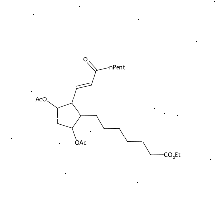 CCCCCC(=O)C=CC1C(OC(C)=O)CC(OC(C)=O)C1CCCCCCC(=O)OCC